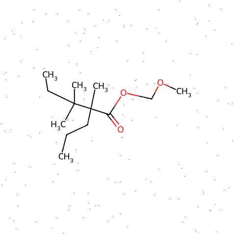 CCCC(C)(C(=O)OCOC)C(C)(C)CC